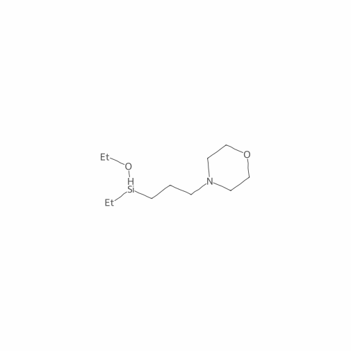 CCO[SiH](CC)CCCN1CCOCC1